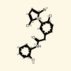 O=C(Cc1ccc(Cl)c([SH]2C(Cl)=CC=C2Br)c1)Nc1ccccc1Cl